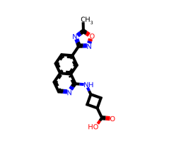 Cc1nc(-c2ccc3ccnc(NC4CC(C(=O)O)C4)c3c2)no1